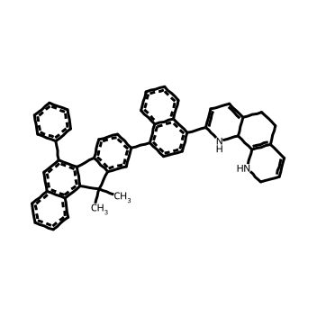 CC1(C)c2cc(-c3ccc(C4=CC=C5CCC6=C(NCC=C6)C5N4)c4ccccc34)ccc2-c2c(-c3ccccc3)cc3ccccc3c21